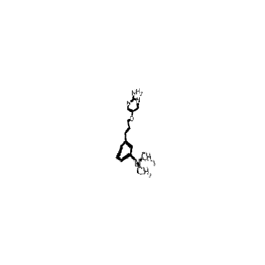 CN(C)c1cccc(CCCOc2cnc(N)nc2)c1